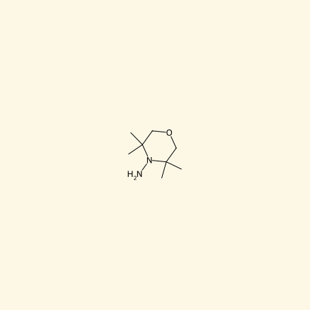 CC1(C)COCC(C)(C)N1N